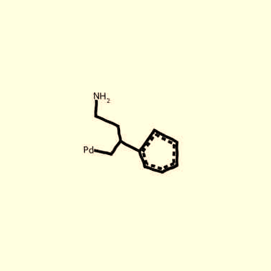 NCCC([CH2][Pd])c1ccccc1